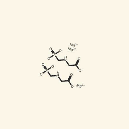 O=C([O-])CNCP(=O)([O-])[O-].O=C([O-])CNCP(=O)([O-])[O-].[Mg+2].[Mg+2].[Mg+2]